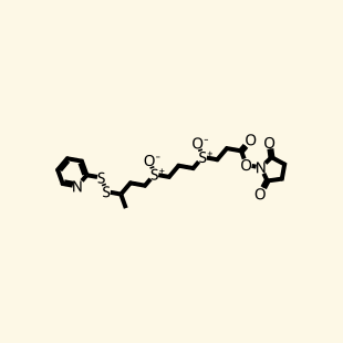 CC(CC[S+]([O-])CCC[S+]([O-])CCC(=O)ON1C(=O)CCC1=O)SSc1ccccn1